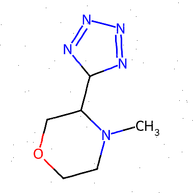 CN1CCOCC1C1N=NN=N1